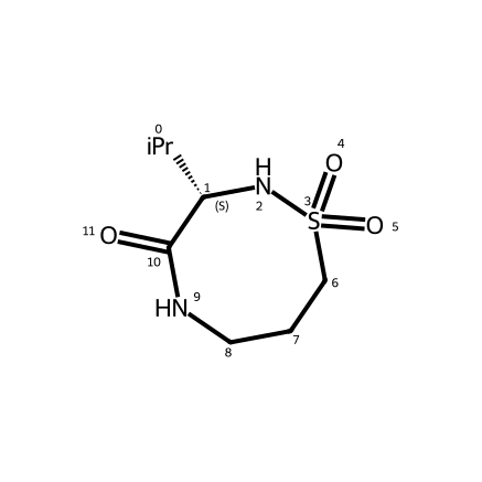 CC(C)[C@@H]1NS(=O)(=O)CCCNC1=O